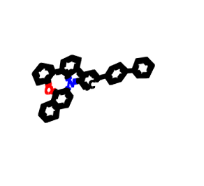 c1ccc(-c2ccc(-c3ccc4c(c3)c3cccc5c6ccccc6oc6c7ccccc7ccc6n4c53)cc2)cc1